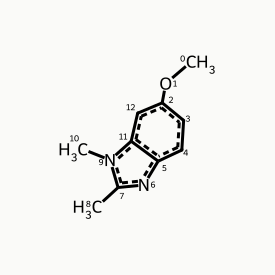 COc1ccc2nc(C)n(C)c2c1